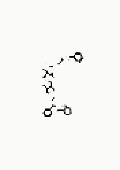 Cc1nc(OCC(=O)OCc2ccccc2)nc(C)c1C(=O)N1CC2CN(CC[C@H](NC(=O)C3CCCC3)c3ccccc3)CC2C1